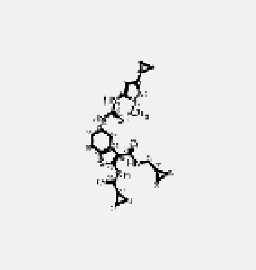 Cn1nc(C2CC2)cc1NC(=S)N[C@H]1CCc2sc(NC(=O)C3CC3)c(C(=O)NCC3CC3)c2C1